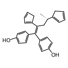 C[C@@H](CC(C1=CC=CC1)=C(c1ccc(O)cc1)c1ccc(O)cc1)C1=CC=CC1